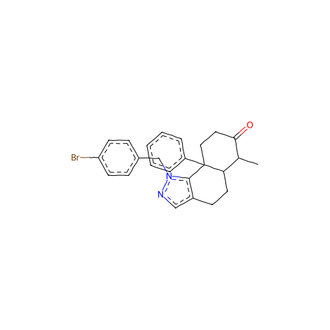 CC1C(=O)CCC2(c3ccccc3)c3c(cnn3Cc3ccc(Br)cc3)CCC12